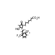 O=C(O)CCCCCC[C@@H]1C(=O)C[C@@H](O)[C@H]1C=Cc1c(C(F)(F)F)cccc1C(F)(F)F